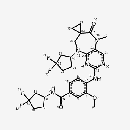 COc1cc(C(=O)N[C@@H]2CCC(F)(F)C2)ccc1Nc1ncc2c(n1)N([C@@H]1CCC(F)(F)C1)CC1(CC1)C(=O)N2C